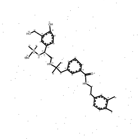 Cc1ccc(CCNC(=O)c2cccc(CC(C)(C)NC[C@@H](O[Si](C)(C)C(C)(C)C)c3ccc(O)c(CO)c3)c2)cc1C